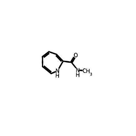 CNC(=O)C1=CC=CC=CN1